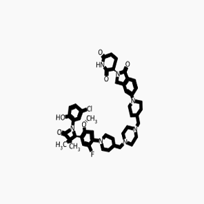 COc1cc(N2CCC(CN3CCN(CC4CCN(c5ccc6c(c5)CN([C@H]5CCC(=O)NC5=O)C6=O)CC4)CC3)CC2)c(F)cc1[C@@H]1N(c2cc(Cl)ccc2O)C(=O)C1(C)C